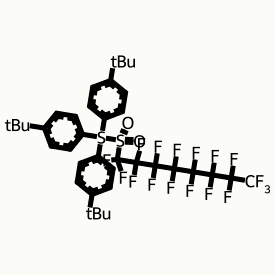 CC(C)(C)c1ccc(S(c2ccc(C(C)(C)C)cc2)(c2ccc(C(C)(C)C)cc2)S(=O)(=O)C(F)(F)C(F)(F)C(F)(F)C(F)(F)C(F)(F)C(F)(F)C(F)(F)C(F)(F)F)cc1